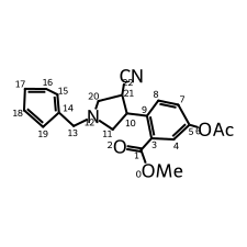 COC(=O)c1cc(OC(C)=O)ccc1C1CN(Cc2ccccc2)CC1C#N